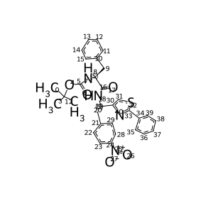 CC(C)(C)OC(=O)N[C@@H](Cc1ccccc1)C(=O)N[C@@H](Cc1ccc([N+](=O)[O-])cc1)c1csc(-c2ccccc2)n1